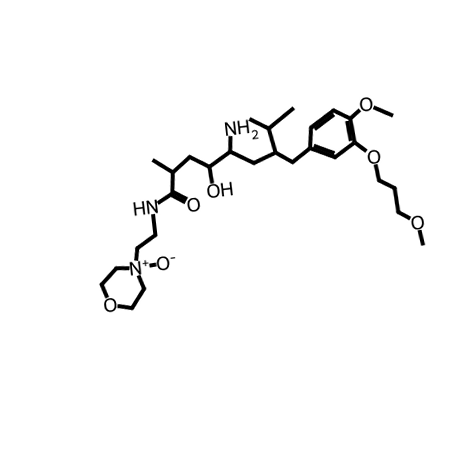 COCCCOc1cc(CC(CC(N)C(O)CC(C)C(=O)NCC[N+]2([O-])CCOCC2)C(C)C)ccc1OC